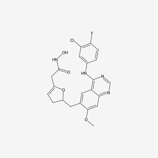 COc1cc2ncnc(Nc3ccc(F)c(Cl)c3)c2cc1CC1CC=C(CC(=O)NO)O1